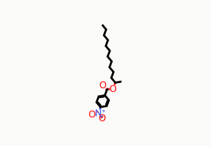 CCCCCCCCCCCC(C)OC(=O)c1ccc([N+](=O)[O-])cc1